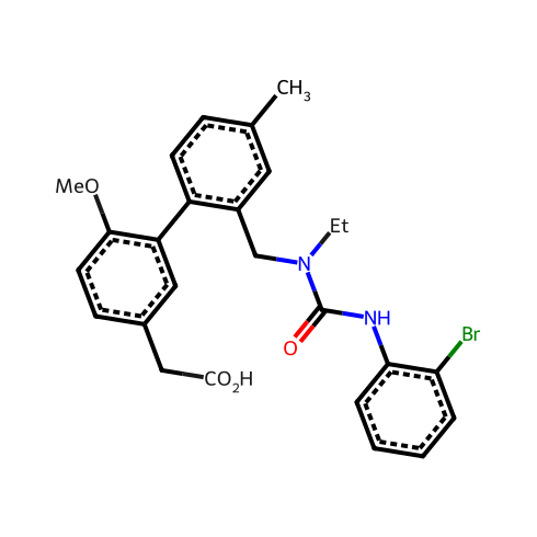 CCN(Cc1cc(C)ccc1-c1cc(CC(=O)O)ccc1OC)C(=O)Nc1ccccc1Br